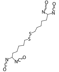 O=C=NC(CCCCCSSCCCCCC(N=C=O)N=C=O)N=C=O